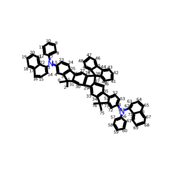 CC1(C)c2cc(N(c3ccccc3)c3cccc4ccccc34)ccc2-c2cc3c(cc21)-c1cc2c(cc1C31c3ccccc3-c3ccccc31)-c1ccc(N(c3ccccc3)c3cccc4ccccc34)cc1C2(C)C